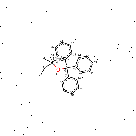 CC1CC1(C=O)OC(c1ccccc1)(c1ccccc1)c1ccccc1